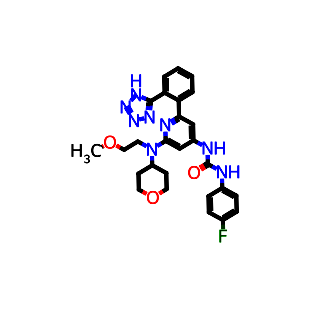 COCCN(c1cc(NC(=O)Nc2ccc(F)cc2)cc(-c2ccccc2-c2nnn[nH]2)n1)C1CCOCC1